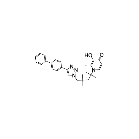 Cc1c(O)c(=O)ccn1C(C)(C)CC(C)(C)Cn1cc(-c2ccc(-c3ccccc3)cc2)nn1